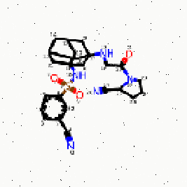 N#Cc1cccc(S(=O)(=O)NC23CC4CC(CC(NCC(=O)N5CCCC5C#N)(C4)C2)C3)c1